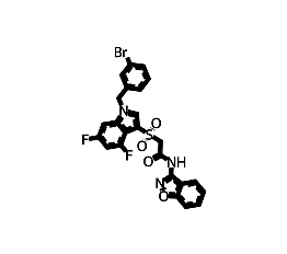 O=C(CS(=O)(=O)c1cn(Cc2cccc(Br)c2)c2cc(F)cc(F)c12)Nc1noc2ccccc12